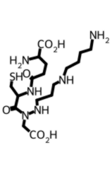 NCCCCNCCCNN(CC(=O)O)C(=O)C(CS)NC(=O)CCC(N)C(=O)O